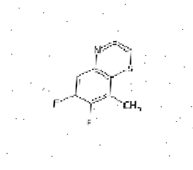 Cc1c(F)c(F)cc2c1SC=C=N2